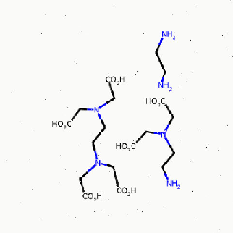 NCCN.NCCN(CC(=O)O)CC(=O)O.O=C(O)CN(CCN(CC(=O)O)CC(=O)O)CC(=O)O